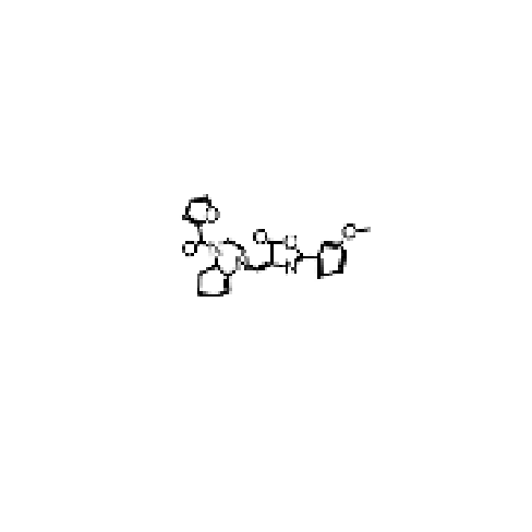 COc1cccc(C2=NC(=CN3CCN(C(=O)c4ccco4)C4CCCC=C43)C(=O)O2)c1